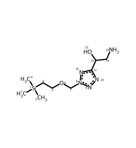 C[Si](C)(C)CCOCn1nnc(C(O)CN)n1